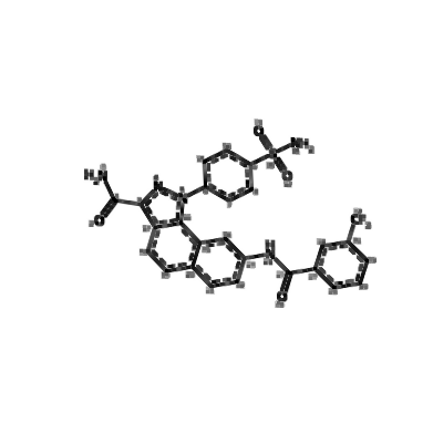 NC(=O)c1nn(-c2ccc(S(N)(=O)=O)cc2)c2c1ccc1ccc(NC(=O)c3cccc(C(F)(F)F)c3)cc12